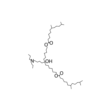 CCCN(CCC)CCCCC(O)(CCCCCCOC(=O)CCCCCC(C)CCCC(C)C)CCCCCCOC(=O)CCCCCC(C)CCCC(C)C